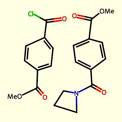 COC(=O)c1ccc(C(=O)Cl)cc1.COC(=O)c1ccc(C(=O)N2CCC2)cc1